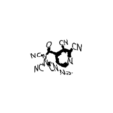 N#Cc1nccc(C(=O)N(C#N)N(C#N)C#N)c1C#N.[Na]